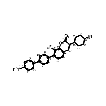 CCCc1ccc(-c2ccc(-c3ccc4c(c3F)OC(=O)C(C3CCC(CC)CC3)C4)cc2)cc1